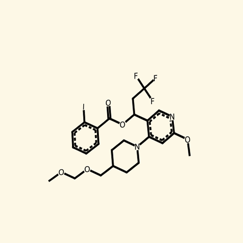 COCOCC1CCN(c2cc(OC)ncc2C(CC(F)(F)F)OC(=O)c2ccccc2I)CC1